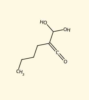 CCCCC(=C=O)C(O)O